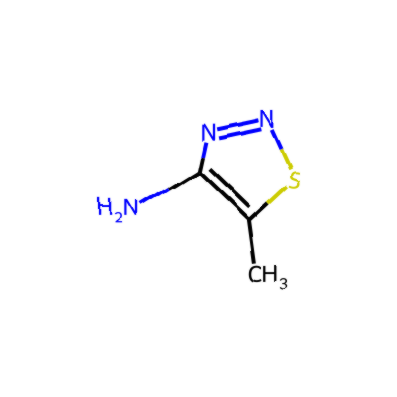 Cc1snnc1N